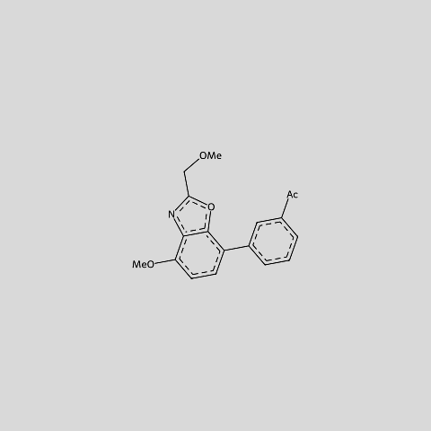 COCc1nc2c(OC)ccc(-c3cccc(C(C)=O)c3)c2o1